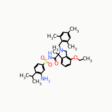 CCOc1cccc2c1CN(Cc1c(C)cc(C)cc1C)C2(C)C(=O)NS(=O)(=O)c1ccc(C(C)C)c(N)c1